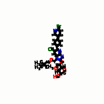 C[Si](C)(C)CCOCn1c(O[C@@H]2CO[C@H]3[C@@H]2OC[C@H]3O)nc2nc(-c3ccc(-c4ccc(Br)nc4)cc3)c(Cl)cc21